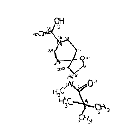 CN(C(=O)C(C)(C)C)[C@H]1COC2(CCN(C(=O)O)CC2)C1